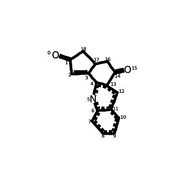 O=C1C=C2c3nc4ccccc4cc3C(=O)CC2C1